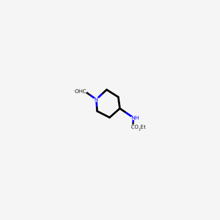 CCOC(=O)NC1CCN([C]=O)CC1